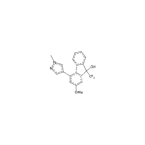 COc1cc(-c2cnn(C)c2)c2c(c1)C(O)(C(F)(F)F)c1ccccc1-2